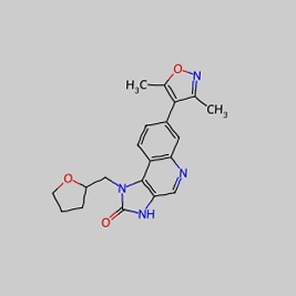 Cc1noc(C)c1-c1ccc2c(c1)ncc1[nH]c(=O)n(CC3CCCO3)c12